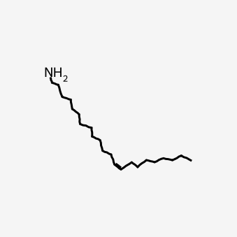 CCCCCCCC/C=C\CCCCCCCCCCCCN